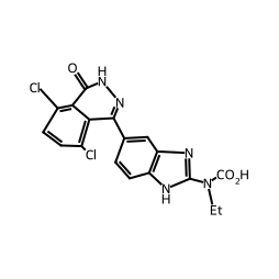 CCN(C(=O)O)c1nc2cc(-c3n[nH]c(=O)c4c(Cl)ccc(Cl)c34)ccc2[nH]1